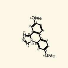 COc1ccc2c3ccc(OC)cc3n3nnnc3c2c1